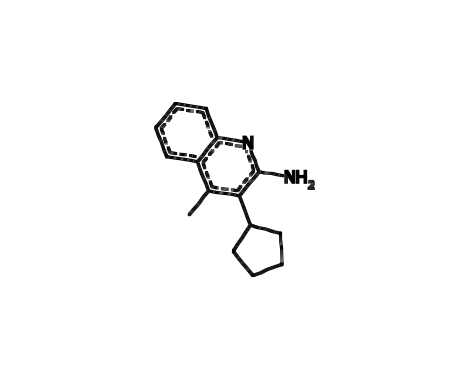 Cc1c(C2CCCC2)c(N)nc2ccccc12